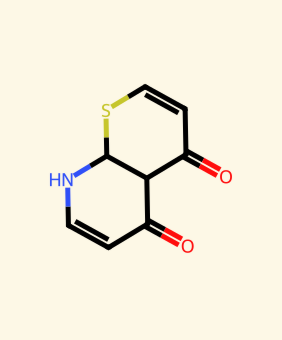 O=C1C=CNC2SC=CC(=O)C12